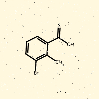 Cc1c(Br)cccc1C(O)=S